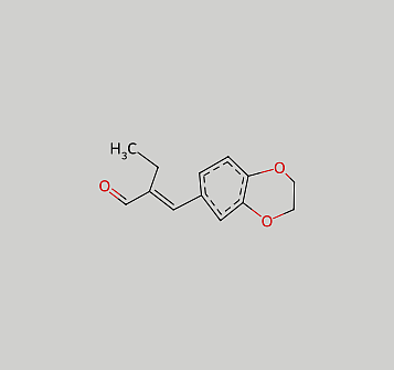 CC/C(C=O)=C\c1ccc2c(c1)OCCO2